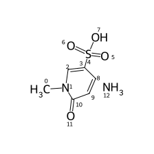 Cn1cc(S(=O)(=O)O)ccc1=O.N